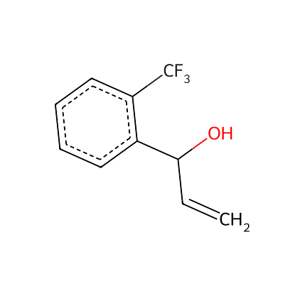 C=CC(O)c1ccccc1C(F)(F)F